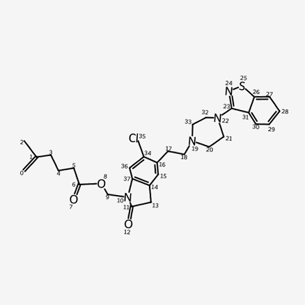 C=C(C)CCCC(=O)OCN1C(=O)Cc2cc(CCN3CCN(c4nsc5ccccc45)CC3)c(Cl)cc21